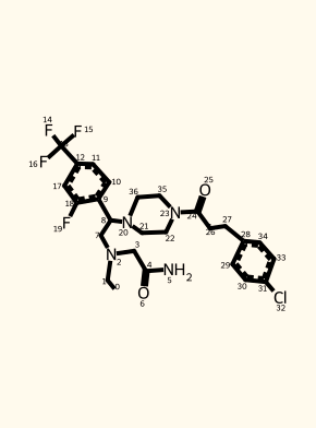 CCN(CC(N)=O)CC(c1ccc(C(F)(F)F)cc1F)N1CCN(C(=O)[CH]Cc2ccc(Cl)cc2)CC1